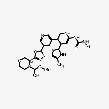 CCNC(=O)NC1=CC(C2NC(C(F)(F)F)=CS2)C(C2=CN=CC(C3NN=C([C@@H]4COCCN4C(O)OC(C)(C)C)O3)C2)CN1